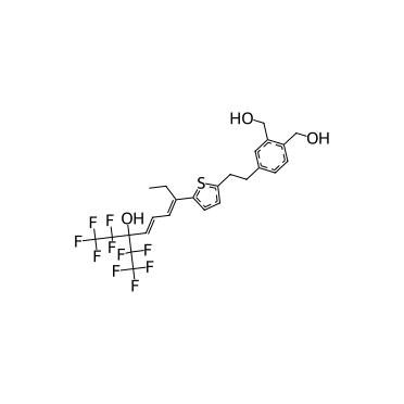 CCC(=CC=CC(O)(C(F)(F)C(F)(F)F)C(F)(F)C(F)(F)F)c1ccc(CCc2ccc(CO)c(CO)c2)s1